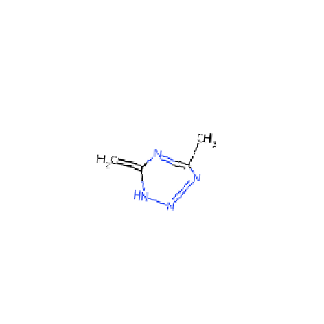 C=C1N=C(C)N=NN1